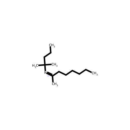 CCCCCC/C(C)=N\C(C)(C)CCC